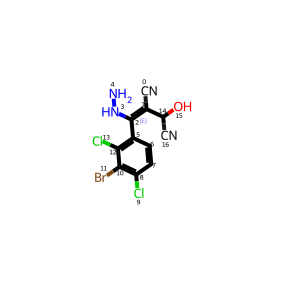 N#C/C(=C(\NN)c1ccc(Cl)c(Br)c1Cl)C(O)C#N